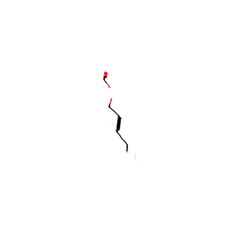 [CH2]C/C=C/COC=O